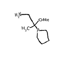 COC(C)(CN)P1CCCC1